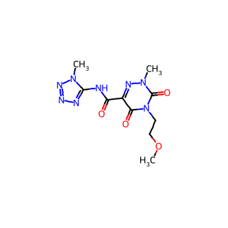 COCCn1c(=O)c(C(=O)Nc2nnnn2C)nn(C)c1=O